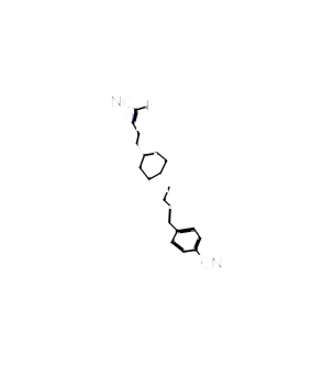 N#C/C(F)=C/CC[C@H]1CC[C@H](CCCCc2ccc(C#N)cc2)CC1